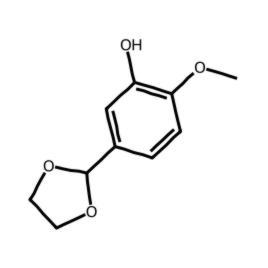 COc1ccc(C2OCCO2)cc1O